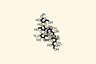 CC(C)O[C@@H]1OC(CO)[C@@H](O[C@@H]2OC(CO)[C@H](O[C@@H]3OC(CO)[C@H](O)[C@H](O)C3C)[C@H](O[C@]3(OC=O)C[C@@H](O)[C@@H](C)C([C@H](O)[C@@H](CO)O[C@]4(OC=O)C[C@@H](O)[C@@H](C)C([C@H](O)[C@H](O)CO)O4)O3)C2O)[C@H](O)C1O